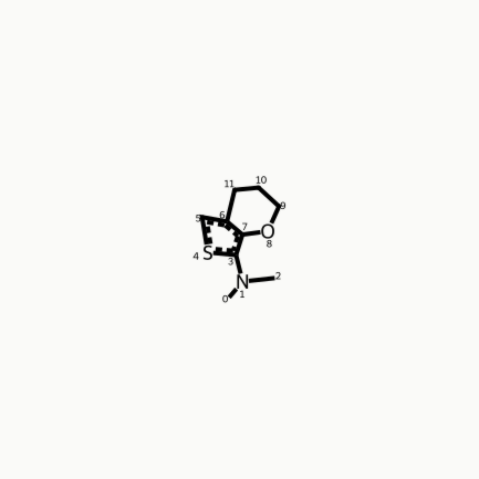 CN(C)c1scc2c1OCCC2